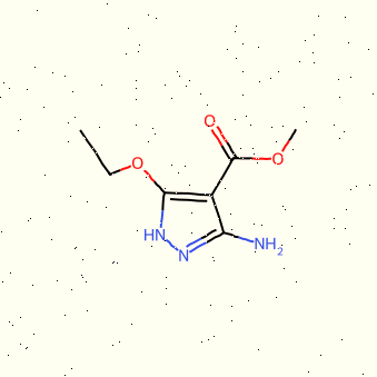 CCOc1[nH]nc(N)c1C(=O)OC